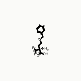 N[C@@](CCSCc1ccccc1)(C(=O)O)C(F)F